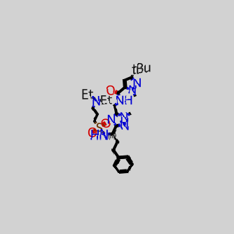 CCN(CC)CCCS(=O)(=O)N[C@H](CCc1ccccc1)c1nc(CNC(=O)c2cc(C(C)(C)C)nn2C)n(C)n1